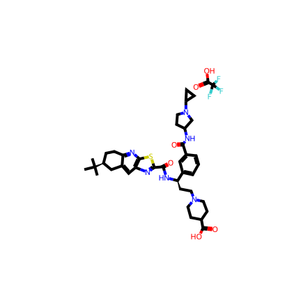 CC(C)(C)[C@H]1CCc2nc3sc(C(=O)N[C@H](CCN4CCC(C(=O)O)CC4)c4cccc(C(=O)NC5CCN(C6CC6)C5)c4)nc3cc2C1.O=C(O)C(F)(F)F